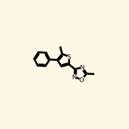 Cc1nc(-c2cc(-c3ccccc3)c(C)s2)no1